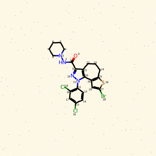 O=C(NN1CCCCC1)c1nn(-c2ccc(Cl)cc2Cl)c2c1CCCc1sc(Br)cc1-2